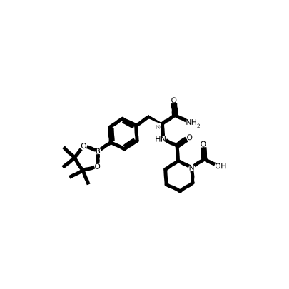 CC1(C)OB(c2ccc(C[C@H](NC(=O)C3CCCCN3C(=O)O)C(N)=O)cc2)OC1(C)C